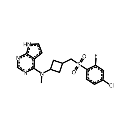 CN(c1ncnc2[nH]ccc12)C1CC(CS(=O)(=O)c2ccc(Cl)cc2F)C1